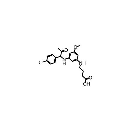 COc1cc(NCCCC(=O)O)cc(NC(C(C)=O)c2ccc(Cl)cc2)c1